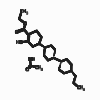 CC(=O)O.CCC[C@H]1CC[C@H]([C@H]2CC[C@H](C3CCC(C(=O)OCC)=C(O)C3)CC2)CC1